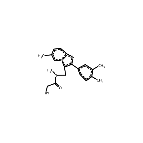 Cc1ccc2nc(-c3ccc(C)c(C)c3)c(CN(C)C(=O)CC(C)C)n2c1